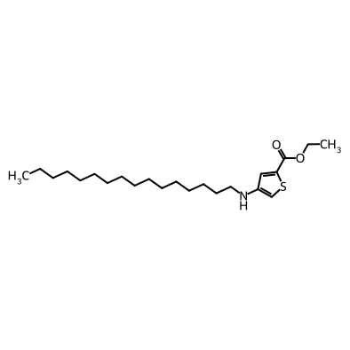 CCCCCCCCCCCCCCCCNc1csc(C(=O)OCC)c1